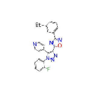 CCc1cccc(-c2noc(-c3nnn(-c4ccccc4F)c3-c3ccncc3)n2)c1